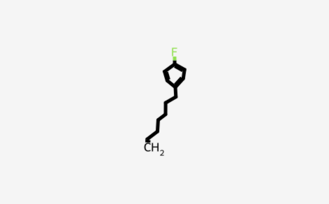 C=CCCCCCc1ccc(F)cc1